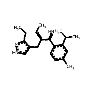 C/C=C(/Cc1c[nH]nc1CC)C(=N)c1ccc(C)cc1C(C)C